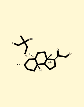 C[C@H]1CC[C@@H]2[C@H](CC[C@]3(C)[C@@H](C(=O)CBr)CC[C@@H]23)[C@H]1CCC(C)(O)CF